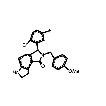 COc1ccc(CN2C(=O)c3c(ccc4c3CCN4)C2c2cc(F)ccc2Cl)cc1